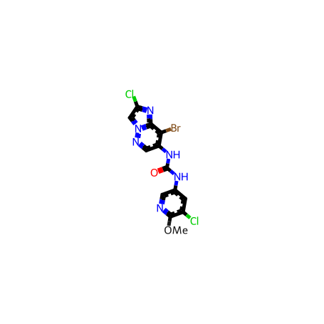 COc1ncc(NC(=O)Nc2cnn3cc(Cl)nc3c2Br)cc1Cl